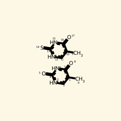 Cc1c[nH]c(=O)[nH]c1=O.Cc1c[nH]c(=S)[nH]c1=O